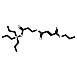 CCCOC(=O)C=CC(=O)OCCC(=O)O[Si](CCC)(CCC)CCC